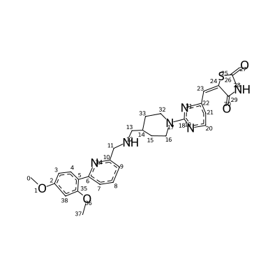 COc1ccc(-c2cccc(CNCC3CCN(c4nccc(/C=C5/SC(=O)NC5=O)n4)CC3)n2)c(OC)c1